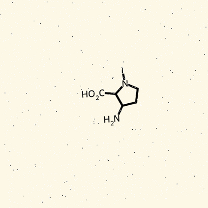 NC1CCN(I)C1C(=O)O